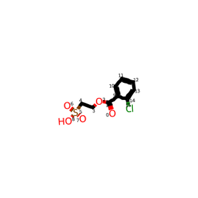 O=C(OCCS(=O)(=O)O)c1ccccc1Cl